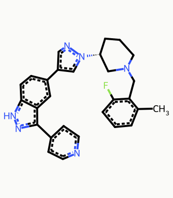 Cc1cccc(F)c1CN1CCC[C@@H](n2cc(-c3ccc4[nH]nc(-c5ccncc5)c4c3)cn2)C1